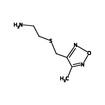 Cc1nonc1CSCCN